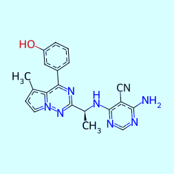 Cc1ccn2nc([C@H](C)Nc3ncnc(N)c3C#N)nc(-c3cccc(O)c3)c12